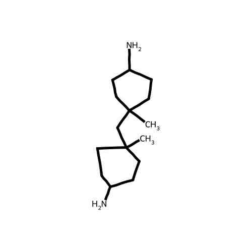 CC1(CC2(C)CCC(N)CC2)CCC(N)CC1